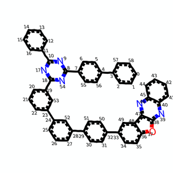 c1ccc(-c2ccc(-c3nc(-c4ccccc4)nc(-c4cccc(-c5cccc(-c6ccc(-c7ccc8oc9nc%10ccccc%10nc9c8c7)cc6)c5)c4)n3)cc2)cc1